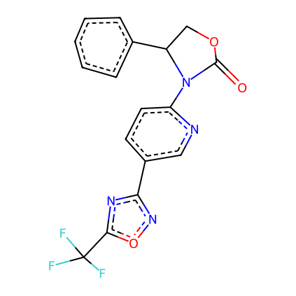 O=C1OCC(c2ccccc2)N1c1ccc(-c2noc(C(F)(F)F)n2)cn1